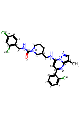 Cc1cnn2c(NCC3CCCN(C(=O)NCc4ccc(Cl)cc4Cl)C3)cc(-c3ccccc3Cl)nc12